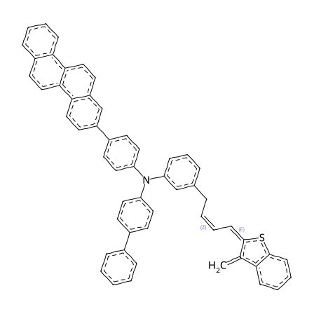 C=c1/c(=C\C=C/Cc2cccc(N(c3ccc(-c4ccccc4)cc3)c3ccc(-c4ccc5c(ccc6c7ccccc7ccc56)c4)cc3)c2)sc2ccccc12